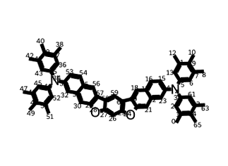 Cc1cc(N(c2cc(C)c(C)c(C)c2)c2ccc3cc4c(cc3c2)oc2cc3oc5cc6cc(N(c7cc(C)c(C)c(C)c7)c7cc(C)c(C)c(C)c7)ccc6cc5c3cc24)cc(C)c1C